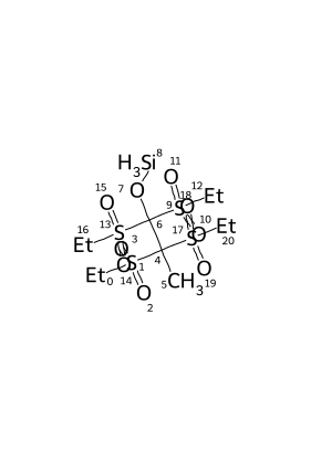 CCS(=O)(=O)C(C)(C(O[SiH3])(S(=O)(=O)CC)S(=O)(=O)CC)S(=O)(=O)CC